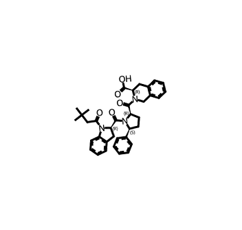 CC(C)(C)CC(=O)N1c2ccccc2C[C@@H]1C(=O)N1[C@@H](C(=O)N2Cc3ccccc3C[C@@H]2C(=O)O)CC[C@H]1c1ccccc1